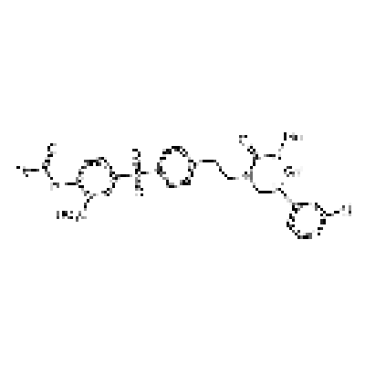 CCC(=O)Nc1ccc(S(=O)(=O)c2ccc(CCN(C[C@H](O)c3cccc(Cl)c3)C(=O)OC(C)(C)C)cc2)cc1C(=O)O